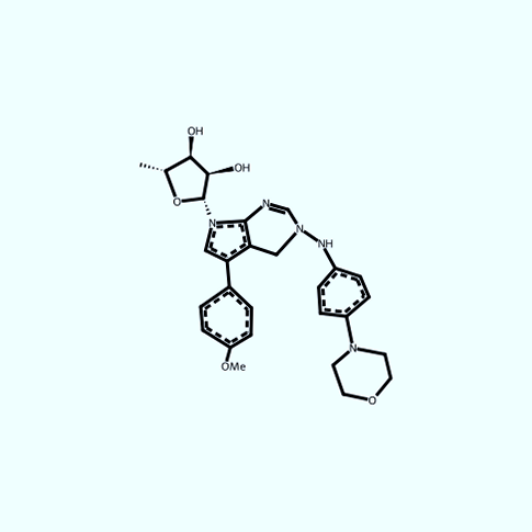 COc1ccc(-c2cn([C@@H]3O[C@H](C)[C@@H](O)[C@H]3O)c3c2CN(Nc2ccc(N4CCOCC4)cc2)C=N3)cc1